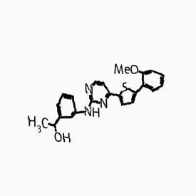 COc1ccccc1-c1ccc(-c2ccnc(Nc3cccc(C(C)O)c3)n2)s1